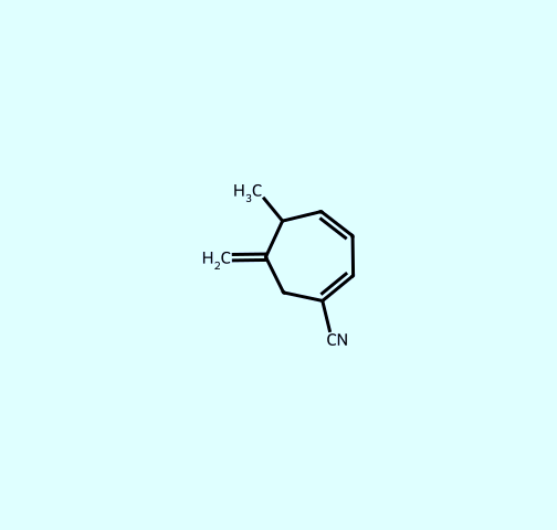 C=C1CC(C#N)=CC=CC1C